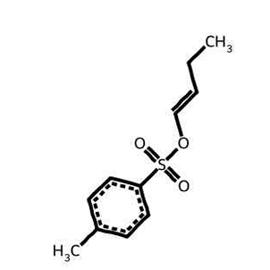 CCC=COS(=O)(=O)c1ccc(C)cc1